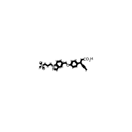 CC#CC(CC(=O)O)c1ccc(OCc2ccc3c(cnn3CCCS(C)(=O)=O)c2)cc1